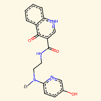 CCN(CCNC(=O)c1c[nH]c2ccccc2c1=O)c1ccc(O)cn1